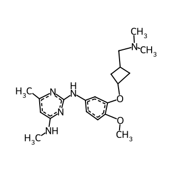 CNc1cc(C)nc(Nc2ccc(OC)c(OC3CC(CN(C)C)C3)c2)n1